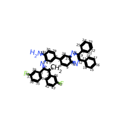 C=C(/C(=N\c1cc(-c2ccc3nc(-c4ccccc4)c(-c4cc#ccc4)nc3c2)ccc1N)c1cccc(F)c1)c1cccc(F)c1